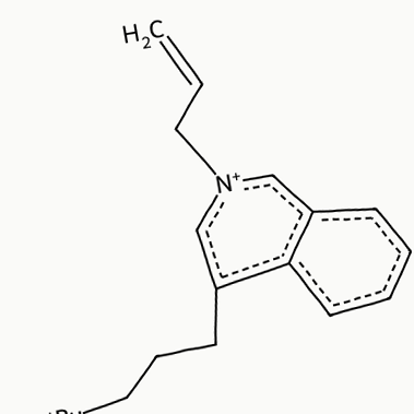 C=CC[n+]1cc(CCCC(C)(C)C)c2ccccc2c1